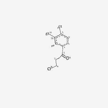 CCc1ccc(C(=O)CCCl)cc1CC